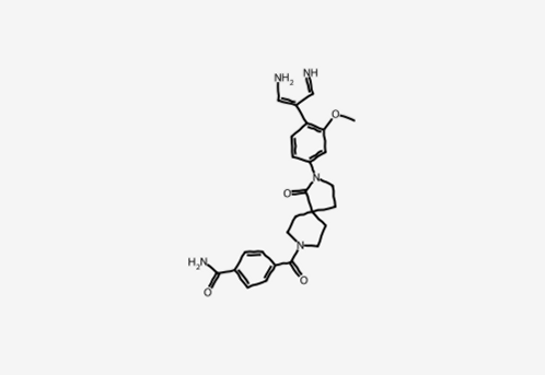 COc1cc(N2CCC3(CCN(C(=O)c4ccc(C(N)=O)cc4)CC3)C2=O)ccc1/C(C=N)=C/N